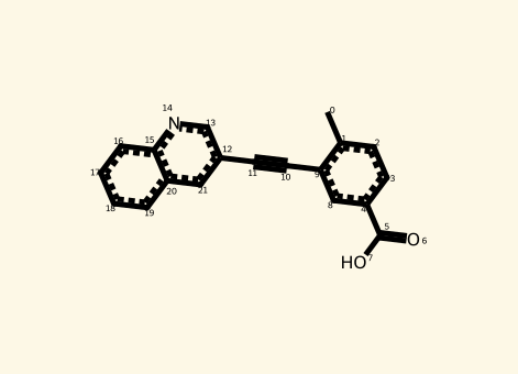 Cc1ccc(C(=O)O)cc1C#Cc1cnc2ccccc2c1